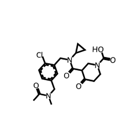 CC(=O)N(C)Cc1ccc(Cl)c(CN(C(=O)C2CN(C(=O)O)CCC2=O)C2CC2)c1